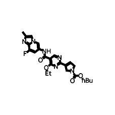 CCCCOC(=O)N1CC=C(c2ncc(C(=O)Nc3cc(F)c4nc(C)cn4c3)c(OCC)n2)C1